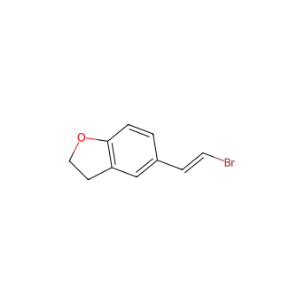 Br/C=C/c1ccc2c(c1)CCO2